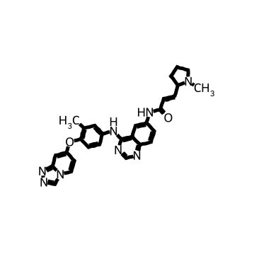 Cc1cc(Nc2ncnc3ccc(NC(=O)C=CC4CCCN4C)cc23)ccc1Oc1ccn2cnnc2c1